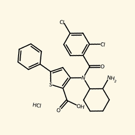 Cl.NC1CCCCC1N(C(=O)c1ccc(Cl)cc1Cl)c1cc(-c2ccccc2)sc1C(=O)O